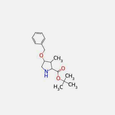 CC1C(OCc2ccccc2)CNC1C(=O)OC(C)(C)C